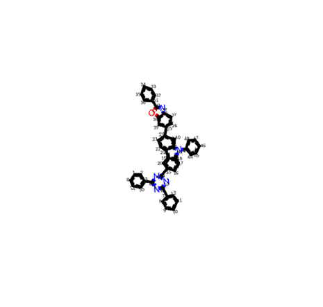 c1ccc(-c2nc(-c3ccccc3)nc(-c3ccc4c(c3)c3ccc(-c5ccc6nc(-c7ccccc7)oc6c5)cc3n4-c3ccccc3)n2)cc1